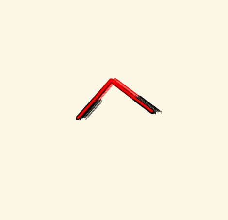 [Bi+3].[Bi+3].[Bi+3].[Bi+3].[Bi+3].[Bi+3].[Bi+3].[Bi+3].[Bi+3].[Bi+3].[Bi+3].[Bi+3].[Bi+3].[Bi+3].[Bi+3].[Bi+3].[Bi+3].[Bi+3].[Bi+3].[Bi+3].[Bi+3].[Bi+3].[Bi+3].[Bi+3].[Bi+3].[Bi+3].[Bi+3].[Bi+3].[Bi+3].[Bi+3].[Bi+3].[Bi+3].[Bi+3].[Bi+3].[Bi+3].[Bi+3].[Bi+3].[Bi+3].[Bi+3].[Bi+3].[Bi+3].[Bi+3].[Bi+3].[Bi+3].[Bi+3].[Bi+3].[Bi+3].[Bi+3].[Bi+3].[Bi+3].[Bi+3].[Bi+3].[Bi+3].[Bi+3].[Bi+3].[Bi+3].[Bi+3].[Bi+3].[Bi+3].[Bi+3].[Bi+3].[Bi+3].[Bi+3].[Bi+3].[Bi+3].[Bi+3].[Bi+3].[O-2].[O-2].[O-2].[O-2].[O-2].[O-2].[O-2].[O-2].[O-2].[O-2].[O-2].[O-2].[O-2].[O-2].[O-2].[O-2].[O-2].[O-2].[O-2].[O-2].[O-2].[O-2].[O-2].[O-2].[O-2].[O-2].[O-2].[O-2].[O-2].[O-2].[O-2].[O-2].[O-2].[O-2].[O-2].[O-2].[O-2].[O-2].[O-2].[O-2].[O-2].[O-2].[O-2].[O-2].[O-2].[O-2].[O-2].[O-2].[O-2].[O-2].[O-2].[O-2].[O-2].[O-2].[O-2].[O-2].[O-2].[O-2].[O-2].[O-2].[O-2].[O-2].[O-2].[O-2].[O-2].[O-2].[O-2].[O-2].[O-2].[O-2].[O-2].[O-2].[O-2]